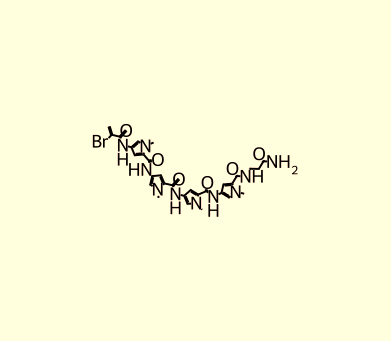 C=C(Br)C(=O)Nc1cc(C(=O)Nc2cc(C(=O)Nc3cc(C(=O)Nc4cc(C(=O)NCCC(N)=O)n(C)c4)n(C)c3)n(C)c2)n(C)c1